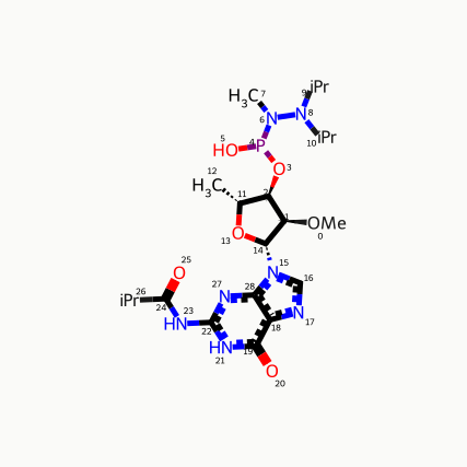 CO[C@@H]1[C@H](OP(O)N(C)N(C(C)C)C(C)C)[C@@H](C)O[C@H]1n1cnc2c(=O)[nH]c(NC(=O)C(C)C)nc21